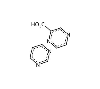 O=C(O)c1cnccn1.c1cncnc1